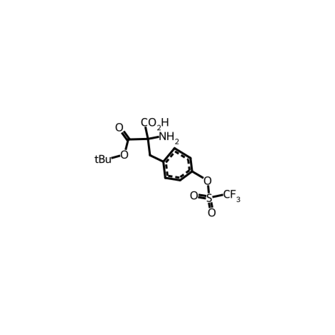 CC(C)(C)OC(=O)C(N)(Cc1ccc(OS(=O)(=O)C(F)(F)F)cc1)C(=O)O